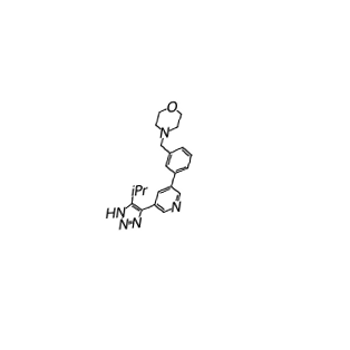 CC(C)c1[nH]nnc1-c1cncc(-c2cccc(CN3CCOCC3)c2)c1